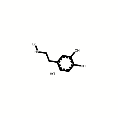 Cl.Oc1ccc(CCNBr)cc1O